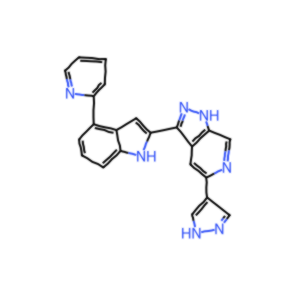 c1ccc(-c2cccc3[nH]c(-c4n[nH]c5cnc(-c6cn[nH]c6)cc45)cc23)nc1